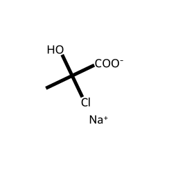 CC(O)(Cl)C(=O)[O-].[Na+]